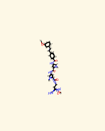 CONC(=N)CCNC(=O)c1cc(NC(=O)c2cc(NC(=O)c3ccc(/C=C/c4cccc(OC)c4)cc3)cn2C)cn1C